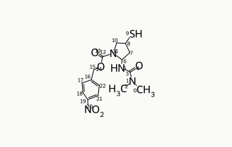 CN(C)C(=O)NC1CC(S)CN1C(=O)OCc1ccc([N+](=O)[O-])cc1